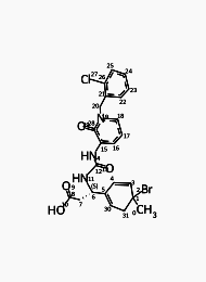 CC1(Br)C=CC([C@H](CC(=O)O)NC(=O)Nc2cccn(Cc3ccccc3Cl)c2=O)=CC1